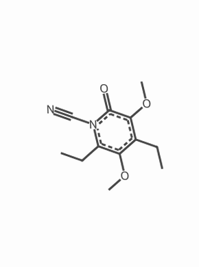 CCc1c(OC)c(CC)n(C#N)c(=O)c1OC